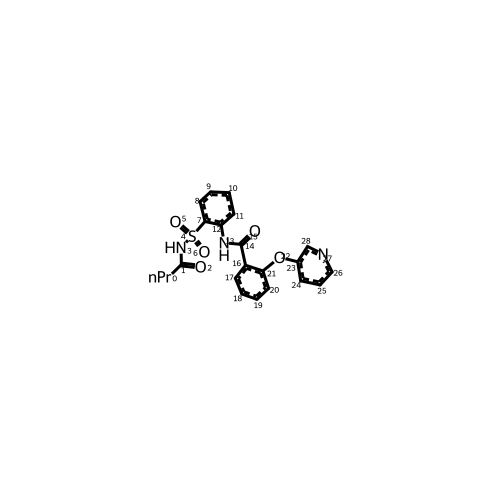 CCCC(=O)NS(=O)(=O)c1ccccc1NC(=O)c1ccccc1Oc1cccnc1